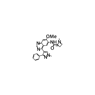 COc1cc2ncnc(-c3cn(C)nc3-c3ccccc3)c2cc1NC(=O)[C@@H]1CCN1C